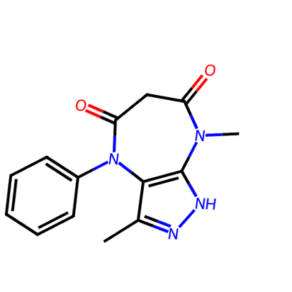 Cc1n[nH]c2c1N(c1ccccc1)C(=O)CC(=O)N2C